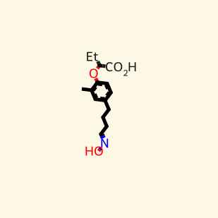 CCC(Oc1ccc(CCCC=NO)cc1C)C(=O)O